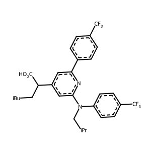 CCC(C)CC(C(=O)O)c1cc(-c2ccc(C(F)(F)F)cc2)nc(N(CC(C)C)c2ccc(C(F)(F)F)cc2)c1